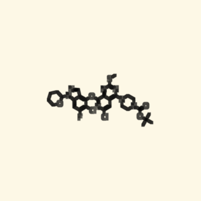 CSc1nc(N2CCN(C(=O)OC(C)(C)C)CC2)c2cc(Cl)nc(Oc3c(Cl)c(F)cc4c3cnn4C3CCCCO3)c2n1